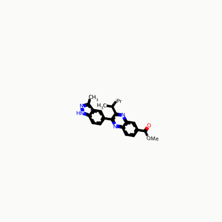 COC(=O)c1ccc2nc(-c3ccc4[nH]nc(C)c4c3)c(C(C)C(C)C)nc2c1